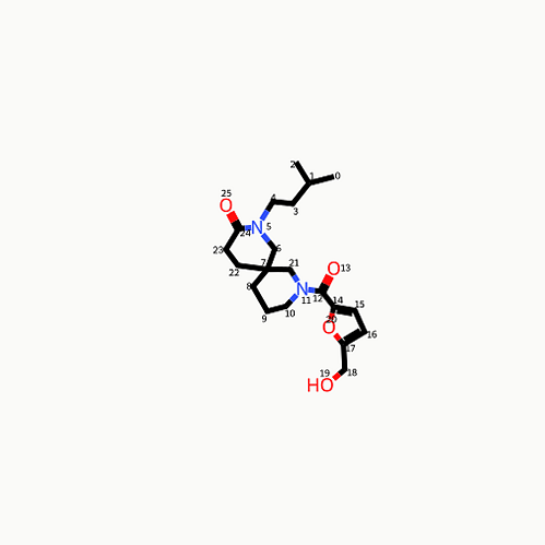 CC(C)CCN1CC2(CCCN(C(=O)c3ccc(CO)o3)C2)CCC1=O